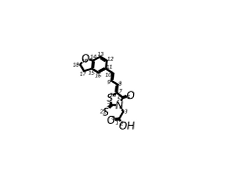 O=C(O)CN1C(=O)C(=CC=Cc2ccc3c(c2)CCO3)SC1=S